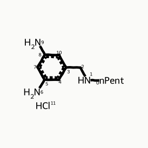 CCCCCNCc1cc(N)cc(N)c1.Cl